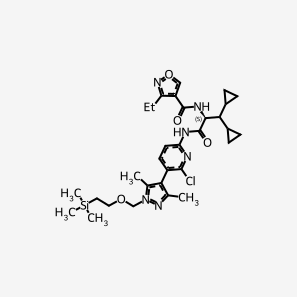 CCc1nocc1C(=O)N[C@H](C(=O)Nc1ccc(-c2c(C)nn(COCC[Si](C)(C)C)c2C)c(Cl)n1)C(C1CC1)C1CC1